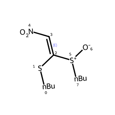 CCCCS/C(=C\[N+](=O)[O-])[S+]([O-])CCCC